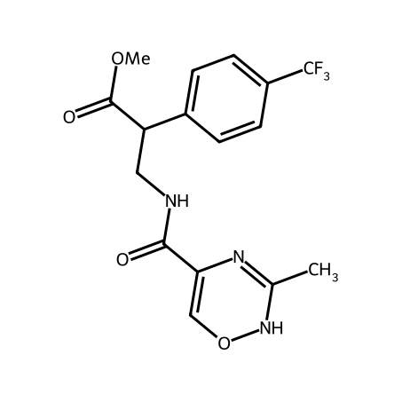 COC(=O)C(CNC(=O)C1=CONC(C)=N1)c1ccc(C(F)(F)F)cc1